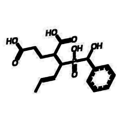 CC=CC(C(CCC(=O)O)C(=O)O)P(=O)(O)C(O)c1ccccc1